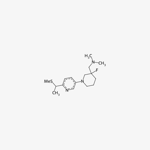 CSC(C)c1ccc(N2CCCC(F)(CN(C)C)C2)cn1